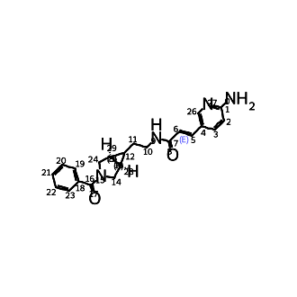 Nc1ccc(/C=C/C(=O)NCCC2[C@H]3CN(C(=O)c4ccccc4)C[C@@H]23)cn1